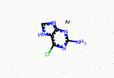 Nc1nc(Cl)c2[nH]cnc2n1.[Ar]